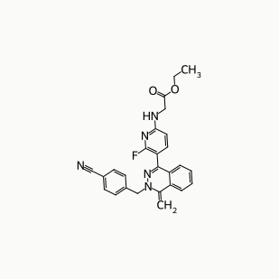 C=C1c2ccccc2C(c2ccc(NCC(=O)OCC)nc2F)=NN1Cc1ccc(C#N)cc1